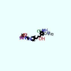 COc1cc(C(O)CCC2CCN(CCNS(C)(=O)=O)CC2)cc(Cl)c1N